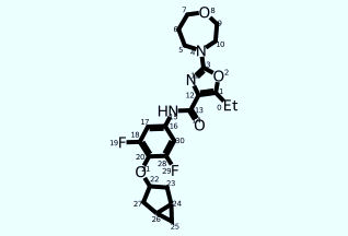 CCc1oc(N2CCCOCC2)nc1C(=O)Nc1cc(F)c(OC2CC3CC3C2)c(F)c1